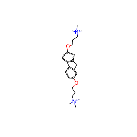 C[N+](C)(C)CCCOc1ccc2c(c1)Cc1cc(OCCC[N+](C)(C)C)ccc1-2